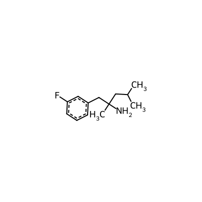 CC(C)CC(C)(N)Cc1cccc(F)c1